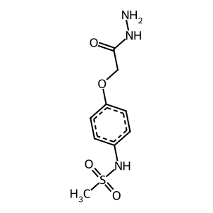 CS(=O)(=O)Nc1ccc(OCC(=O)NN)cc1